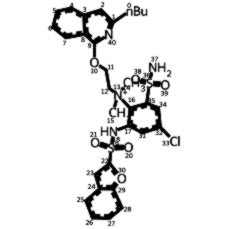 CCCCc1cc2ccccc2c(OCC[N+](C)(C)c2c(NS(=O)(=O)c3cc4ccccc4o3)cc(Cl)cc2S(N)(=O)=O)n1